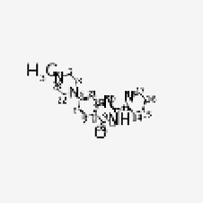 CN1CCN(c2ccc3c(=O)[nH]c(-c4ccccn4)nc3c2)CC1